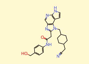 N#CCC1CCC(Cn2c(CC(=O)Nc3ccc(CO)cc3)nc3cnc4[nH]ccc4c32)CC1